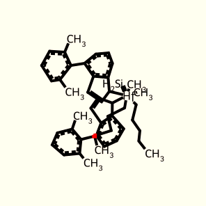 CCCC[CH2][Hf]([CH3])([CH3])(=[SiH2])([CH2]CCCC)([CH]1C=Cc2c(-c3c(C)cccc3C)cccc21)[CH]1C=Cc2c(-c3c(C)cccc3C)cccc21